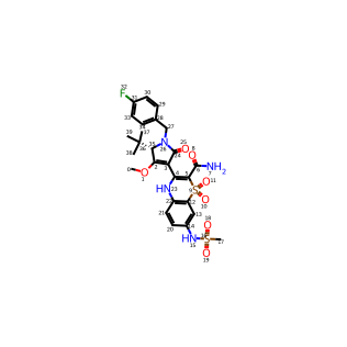 COC1=C(C2=C(C(N)=O)S(=O)(=O)c3cc(NS(C)(=O)=O)ccc3N2)C(=O)N(Cc2ccc(F)cc2)[C@H]1C(C)(C)C